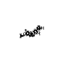 COc1nc(-n2ccn(Cc3ccc(F)c(OCC4CC4)c3)c2=O)ccc1-c1cn[nH]c1